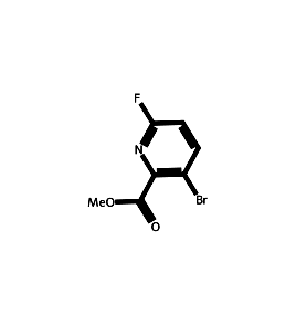 COC(=O)c1nc(F)ccc1Br